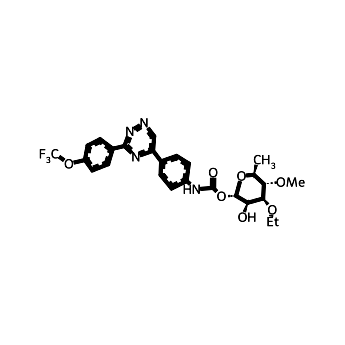 CCO[C@H]1[C@@H](O)[C@H](OC(=O)Nc2ccc(-c3cnnc(-c4ccc(OC(F)(F)F)cc4)n3)cc2)O[C@@H](C)[C@@H]1OC